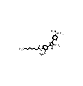 CCCCCCCC(=O)Oc1ccc(-c2nc(-c3ccc(N(C)C)cc3)c(C)[nH]2)cc1OC